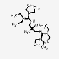 CCN(CC)C(=NCC(C)(C)CNC(N(CC)CC)=[N+](CC)CC)N(CC)CC